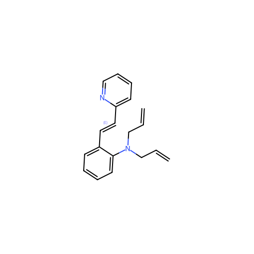 C=CCN(CC=C)c1ccccc1/C=C/c1ccccn1